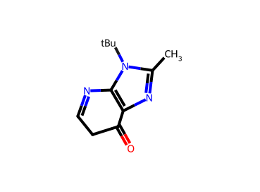 Cc1nc2c(n1C(C)(C)C)N=CCC2=O